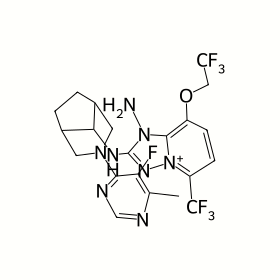 Cc1ncnc(N2CC3CCC(C2)C3Nc2n[n+]3c(C(F)(F)F)ccc(OCC(F)(F)F)c3n2N)c1F